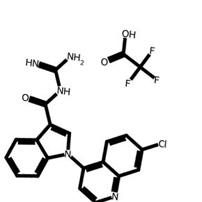 N=C(N)NC(=O)c1cn(-c2ccnc3cc(Cl)ccc23)c2ccccc12.O=C(O)C(F)(F)F